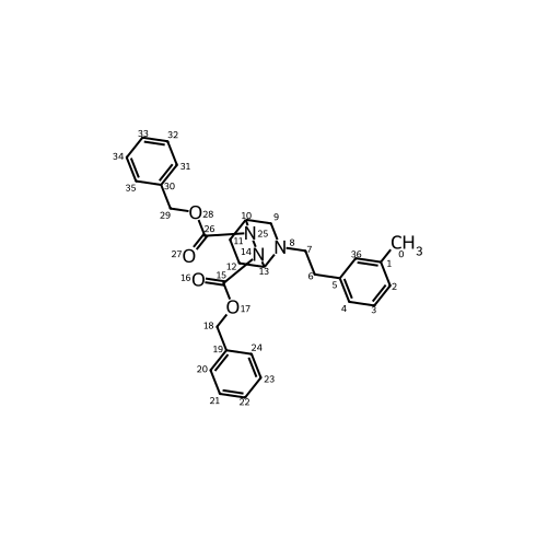 Cc1cccc(CCN2CC3CCC2N(C(=O)OCc2ccccc2)N3C(=O)OCc2ccccc2)c1